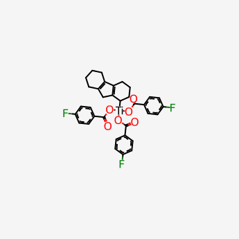 O=C([O][Ti]([O]C(=O)c1ccc(F)cc1)([O]C(=O)c1ccc(F)cc1)[CH]1CCCC2=C1CC1=C2CCCC1)c1ccc(F)cc1